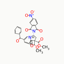 COC(=O)C1(C(=O)OC)C[C@@H](N2C(=O)c3ccc([N+](=O)[O-])cc3C2=O)N2C=C(C(=O)c3ccccc3)C=C[C@@H]21